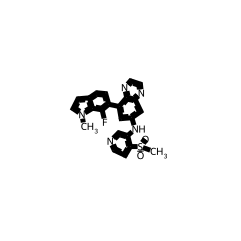 Cn1ccc2ccc(-c3cc(Nc4cnccc4S(C)(=O)=O)cc4nccnc34)c(F)c21